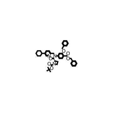 CC(C)(C)OC(=O)N1CC[C@@H]1C(=O)N(Cc1ccc(C2CCCCC2)cn1)c1ccc(C(=O)OCc2ccccc2)c(OCc2ccccc2)c1